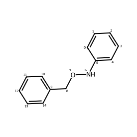 [c]1ccccc1NOCc1ccccc1